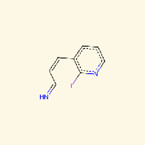 N=C/C=C\c1cccnc1I